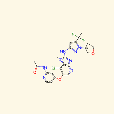 CC(=O)Nc1cc(Oc2cnc3nc(Nc4cc(C(C)(F)F)n([C@H]5CCOC5)n4)n(C)c3c2Cl)ccn1